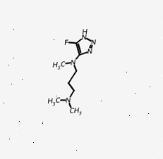 CN(C)CCCN(C)c1nn[nH]c1F